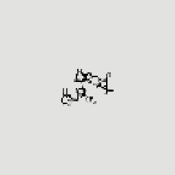 CC1(C)C2C(=O)N(CC3Cc4nccc(-c5cc(C(F)(F)F)n(CC6CNCCO6)n5)c4S3)C(=O)C21